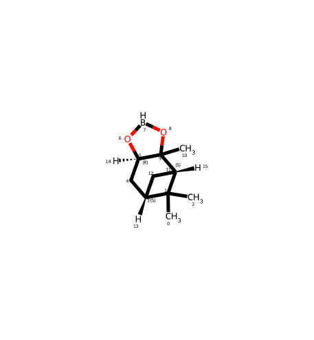 CC1(C)[C@@H]2C[C@H]3OBOC3(C)[C@H]1C2